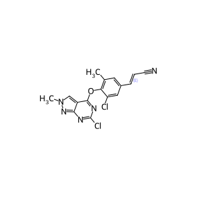 Cc1cc(/C=C/C#N)cc(Cl)c1Oc1nc(Cl)nc2nn(C)cc12